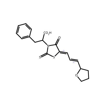 O=C(O)C(Cc1ccccc1)N1C(=O)/C(=C/C=C/C2CCCO2)SC1=S